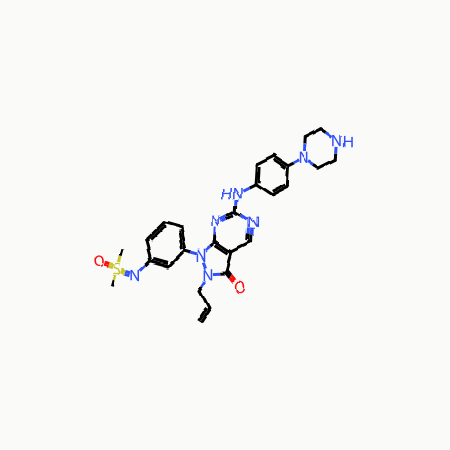 C=CCn1c(=O)c2cnc(Nc3ccc(N4CCNCC4)cc3)nc2n1-c1cccc(N=S(C)(C)=O)c1